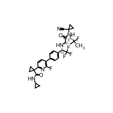 CC(C)(F)C[C@H](N[C@@H](c1ccc(-c2ccc(C3(C(=O)NC4CC4)CC3)nc2F)cc1)C(F)(F)F)C(=O)NC1(C#N)CC1